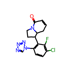 O=C1C=CCC2C(c3c(-n4cnnn4)ccc(Cl)c3F)CCN12